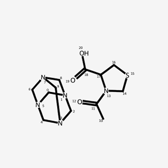 C1N2CN3CN1CN(C2)C3.CC(=O)N1CSCC1C(=O)O